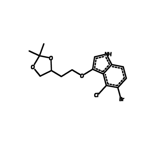 CC1(C)OCC(CCOc2c[nH]c3ccc(Br)c(Cl)c23)O1